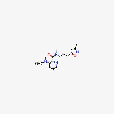 Cc1cc(CCCN(C)C(=O)c2ncccc2N(C)C=O)on1